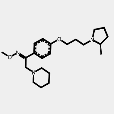 CO/N=C(\CN1CCCCC1)c1ccc(OCCCN2CCC[C@H]2C)cc1